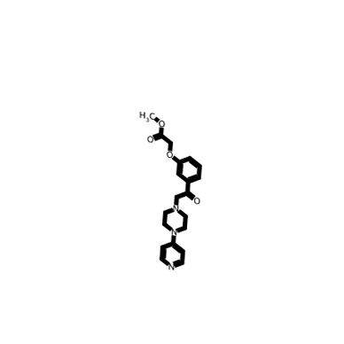 COC(=O)COc1cccc(C(=O)CN2CCN(c3ccncc3)CC2)c1